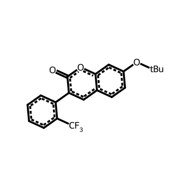 CC(C)(C)Oc1ccc2cc(-c3ccccc3C(F)(F)F)c(=O)oc2c1